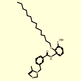 Br.CCCCCCCCCCCCCCOc1c(F)cccc1NC(=O)c1cccc(CN2CSC=C2C)c1